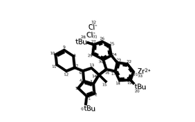 CC(C)(C)C1=CC2=C(C1)C(C1CC=CCC1)CC2(C)C1c2cc(C(C)(C)C)ccc2-c2ccc(C(C)(C)C)cc21.[Cl-].[Cl-].[Zr+2]